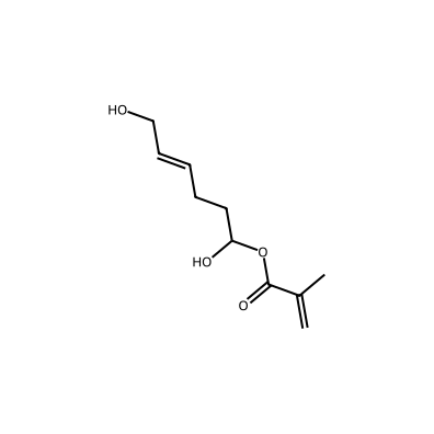 C=C(C)C(=O)OC(O)CCC=CCO